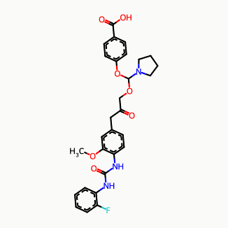 COc1cc(CC(=O)COC(Oc2ccc(C(=O)O)cc2)N2CCCC2)ccc1NC(=O)Nc1ccccc1F